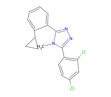 Cn1c(-c2ccc(Cl)cc2Cl)nnc1-c1ccccc1C1CC1